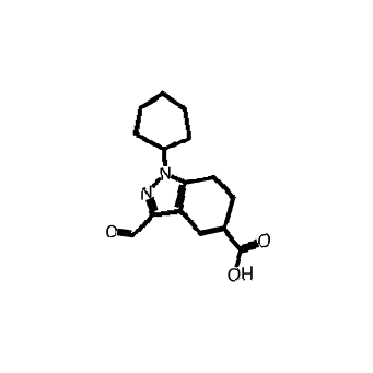 O=Cc1nn(C2CCCCC2)c2c1CC(C(=O)O)CC2